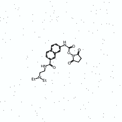 CCN(CC)CCNC(=O)c1ccc2ccc(NC(=O)ON3C(=O)CCC3=O)cc2c1